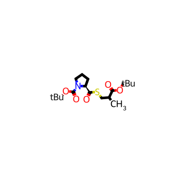 CC(CSC(=O)[C@@H]1CCCN1C(=O)OC(C)(C)C)C(=O)OC(C)(C)C